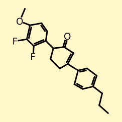 CCCc1ccc(C2=CC(=O)C(c3ccc(OC)c(F)c3F)CC2)cc1